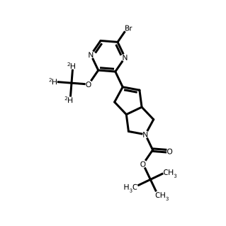 [2H]C([2H])([2H])Oc1ncc(Br)nc1C1=CC2CN(C(=O)OC(C)(C)C)CC2C1